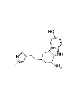 Cn1cc(CCC2Cc3c([nH]c4ccc(O)cc34)C(N)C2)cn1